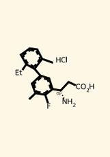 CCc1cccc(C)c1-c1cc(C)c(F)c([C@@H](N)CC(=O)O)c1.Cl